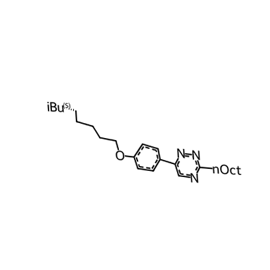 CCCCCCCCc1ncc(-c2ccc(OCCCCC[C@@H](C)CC)cc2)nn1